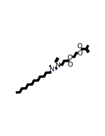 C=CN(/C=[N+](\C)CCCCCCCCCCCC)CCC(=O)OCCOC(=O)C(=C)C